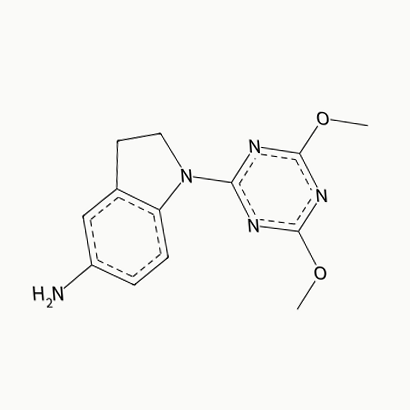 COc1nc(OC)nc(N2CCc3cc(N)ccc32)n1